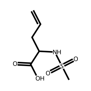 C=CCC(NS(C)(=O)=O)C(=O)O